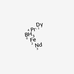 B.[Dy].[Fe].[Nd].[Pr]